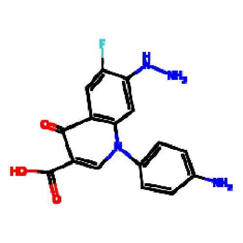 NNc1cc2c(cc1F)c(=O)c(C(=O)O)cn2-c1ccc(N)cc1